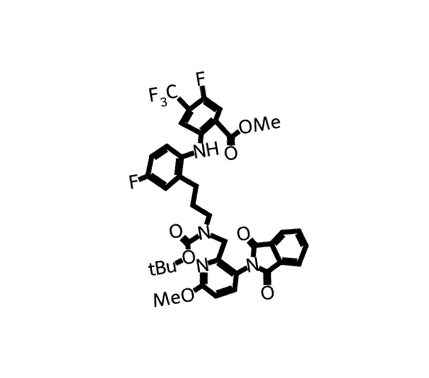 COC(=O)c1cc(F)c(C(F)(F)F)cc1Nc1ccc(F)cc1CCCN(Cc1nc(OC)ccc1N1C(=O)c2ccccc2C1=O)C(=O)OC(C)(C)C